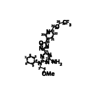 COCCN(c1ccccc1)c1nc(N)nc(-c2noc(-c3ccc(COCC(F)(F)F)nc3)n2)n1